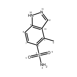 Cc1c(S(N)(=O)=O)ccc2[nH]ncc12